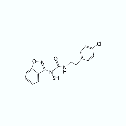 O=C(NCCc1ccc(Cl)cc1)N(S)c1noc2ccccc12